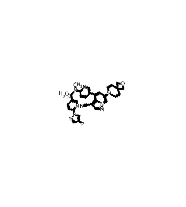 C[C@@H](c1ccc(-n2cc(F)cn2)nc1)N(C)c1ccc(-c2cc(N3CCC4(CC3)COC4)cn3ncc(C#N)c23)cn1